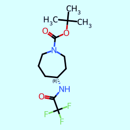 CC(C)(C)OC(=O)N1CCC[C@@H](NC(=O)C(F)(F)F)CC1